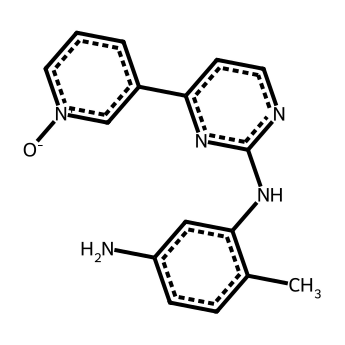 Cc1ccc(N)cc1Nc1nccc(-c2ccc[n+]([O-])c2)n1